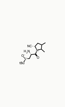 CC1C[C@@H](C#N)N(C(=O)[C@@H](N)C[S+]([O-])C(C)(C)C)C1C